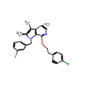 Cc1c(C)n(Cc2cccc(F)c2)c2c(OCCc3ccc(F)cc3)nccc12.Cl